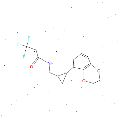 O=C(CC(F)(F)F)NCC1CC1c1cccc2c1OCCO2